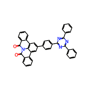 O=c1c2ccccc2c2cc(-c3ccc(-c4nc(-c5ccccc5)nc(-c5ccccc5)n4)cc3)cc3c4ccccc4c(=O)n1c23